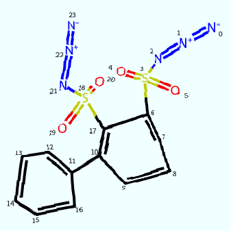 [N-]=[N+]=NS(=O)(=O)c1cccc(-c2ccccc2)c1S(=O)(=O)N=[N+]=[N-]